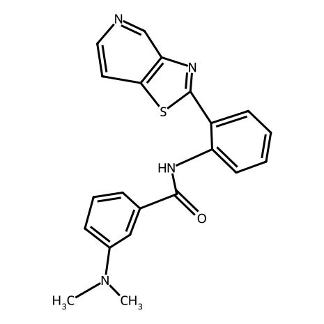 CN(C)c1cccc(C(=O)Nc2ccccc2-c2nc3cnccc3s2)c1